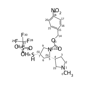 CN1CCC([C@@H]2C[C@H](S)CN2C(=O)OCc2ccc([N+](=O)[O-])cc2)C1.O=S(=O)(O)C(F)(F)F